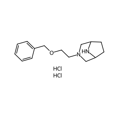 Cl.Cl.c1ccc(COCCN2CC3CCC(C2)N3)cc1